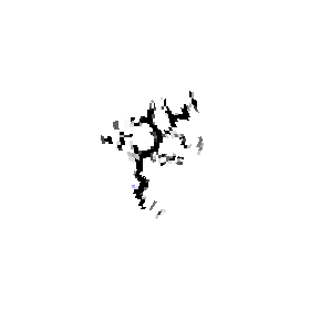 C/C=C/C[C@@H](C)[C@@H](OC(C)=O)[C@@H](C(N)=O)N(C)C(=O)CC(C)C